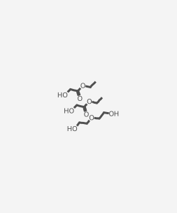 CCOC(=O)CO.CCOC(=O)CO.OCCOCCO